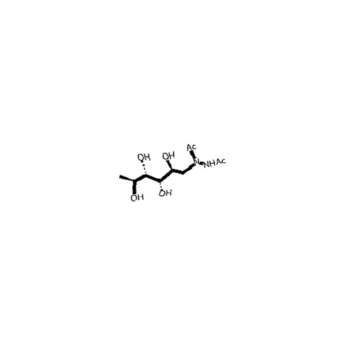 CC(=O)NN(C[C@H](O)[C@H](O)[C@@H](O)[C@H](C)O)C(C)=O